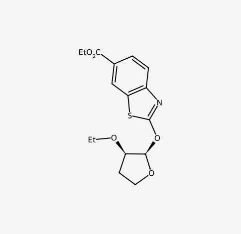 CCOC(=O)c1ccc2nc(O[C@H]3OCC[C@H]3OCC)sc2c1